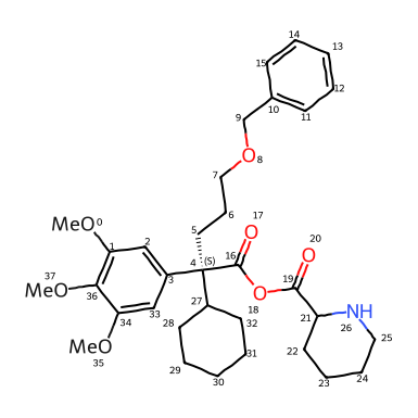 COc1cc([C@@](CCCOCc2ccccc2)(C(=O)OC(=O)C2CCCCN2)C2CCCCC2)cc(OC)c1OC